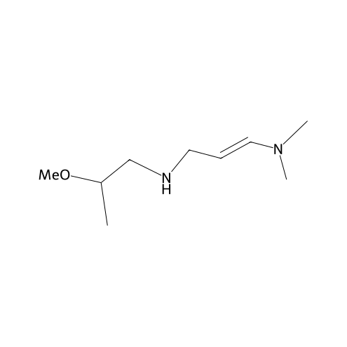 COC(C)CNCC=CN(C)C